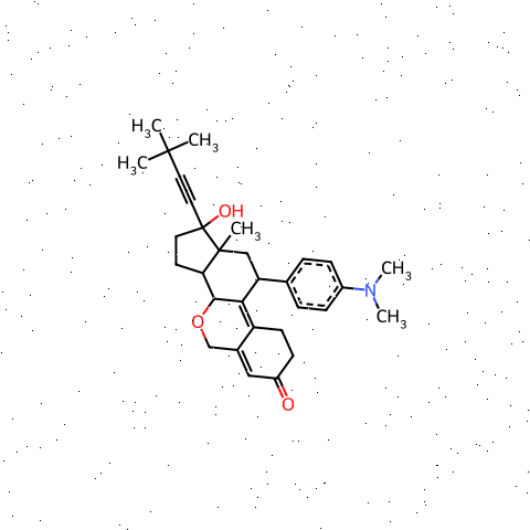 CN(C)c1ccc(C2CC3(C)C(CCC3(O)C#CC(C)(C)C)C3OCC4=CC(=O)CCC4=C23)cc1